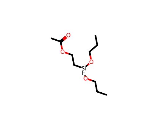 CCCO[SiH](CCOC(C)=O)OCCC